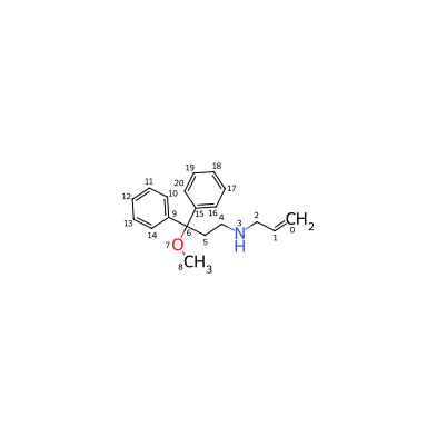 C=CCNCCC(OC)(c1ccccc1)c1ccccc1